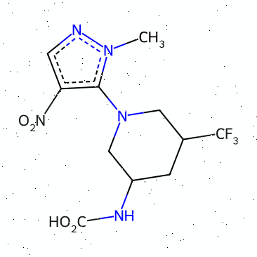 Cn1ncc([N+](=O)[O-])c1N1CC(NC(=O)O)CC(C(F)(F)F)C1